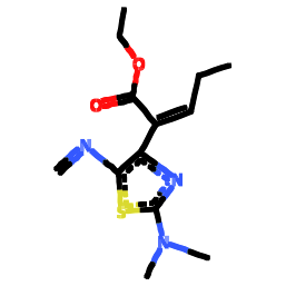 C=Nc1sc(N(C)C)nc1C(=CCC)C(=O)OCC